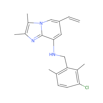 C=Cc1cc(NCc2c(C)ccc(Cl)c2C)c2nc(C)c(C)n2c1